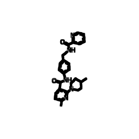 Cc1ccc(C(=O)Nc2ccc(CNC(=O)c3ccccn3)cc2)c(N2CCC(C)CC2)n1